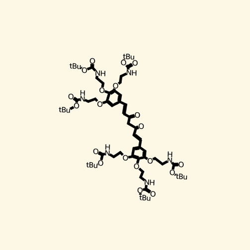 CC(C)(C)OC(=O)NCCOc1cc(C=CC(=O)CC(=O)C=Cc2cc(OCCNC(=O)OC(C)(C)C)c(OCCNC(=O)OC(C)(C)C)c(OCCNC(=O)OC(C)(C)C)c2)cc(OCCNC(=O)OC(C)(C)C)c1OCCNC(=O)OC(C)(C)C